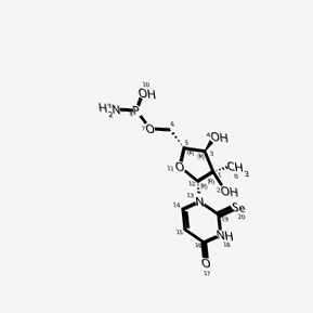 C[C@@]1(O)[C@H](O)[C@@H](COP(N)O)O[C@H]1n1ccc(=O)[nH]c1=[Se]